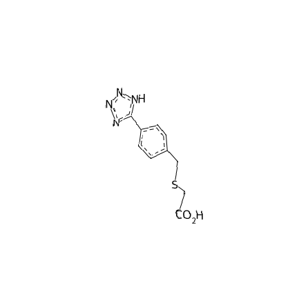 O=C(O)CSCc1ccc(-c2nnn[nH]2)cc1